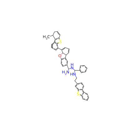 CC1CC=Cc2sc3c(C4=CC=CC5c6cc(C(N)NC(NCCc7ccc8c(c7)sc7ccccc78)c7ccccc7)ccc6OC45)cc#cc3c21